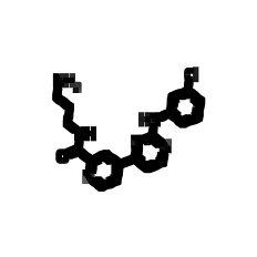 NCCCNC(=O)c1cc(-c2ccnc(Nc3cccc(Cl)c3)n2)ccn1